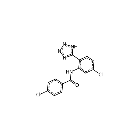 O=C(Nc1cc(Cl)ccc1-c1nnn[nH]1)c1ccc(Cl)cc1